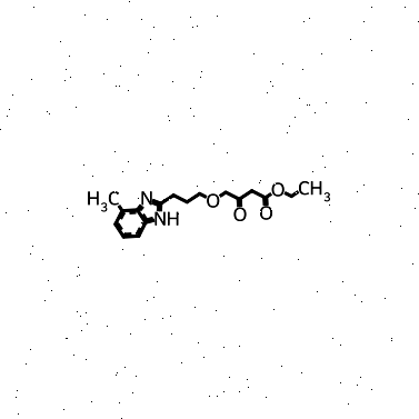 CCOC(=O)CC(=O)COCCCc1nc2c(C)cccc2[nH]1